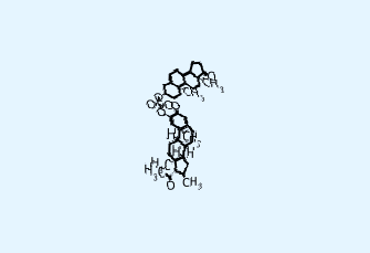 CC(=O)[C@H]1C(C)C[C@H]2[C@@H]3CCC4=CC(=O)C(OS(=O)(=O)O[C@H]5CC[C@@]6(C)C(=CCC7C6CC[C@]6(C)C(=O)CCC76)C5)=C[C@]4(C)[C@H]3CC[C@]12C